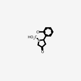 O=C1CC(c2ccccc2Cl)N(C(=O)O)C1